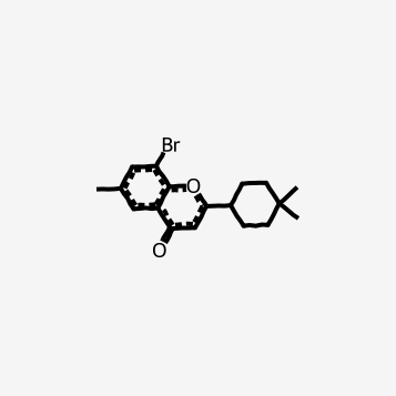 Cc1cc(Br)c2oc(C3CCC(C)(C)CC3)cc(=O)c2c1